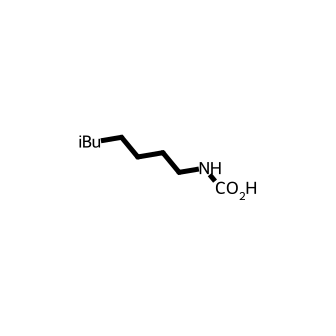 CCC(C)CCCCNC(=O)O